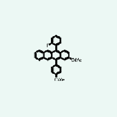 COc1ccc(-c2c3cc(OC)ccc3c(-c3ccccc3F)c3cc4ccccc4cc23)cc1